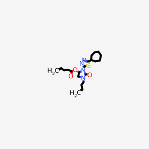 C=CCCC(=O)OC1CN(CCC=C)C(=O)N1c1nnc(C2CCCCCC2)s1